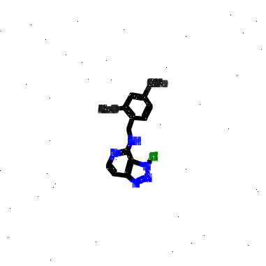 COc1ccc(CNc2nccc3nnn(Cl)c23)c(OC)c1